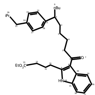 CCCCC(CCCCC(=O)c1c(CCCC(=O)OCC)[nH]c2ccccc12)c1ccc(CC(C)C)cc1